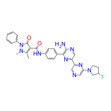 Cc1c(C(=O)Nc2ccc(-c3nc(-c4cncc(N5CCC(F)C5)n4)cnc3N)cc2)c(=O)n(-c2ccccc2)n1C